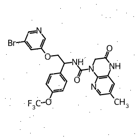 Cc1cnc2c(c1)NC(=O)CN2C(=O)NC(COc1cncc(Br)c1)c1ccc(OC(F)(F)F)cc1